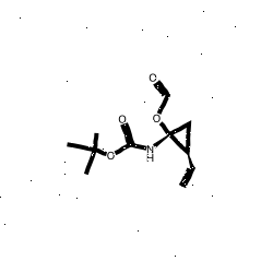 C=C[C@@H]1C[C@@]1(NC(=O)OC(C)(C)C)OC=O